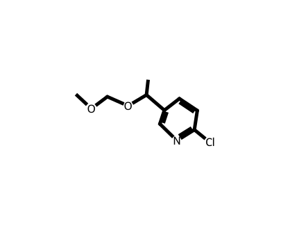 COCOC(C)c1ccc(Cl)nc1